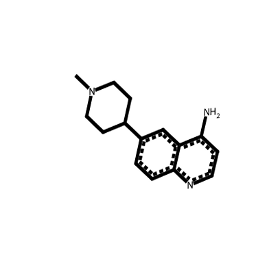 CN1CCC(c2ccc3nccc(N)c3c2)CC1